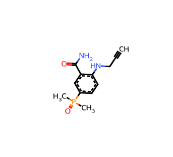 C#CCNc1ccc(P(C)(C)=O)cc1C(N)=O